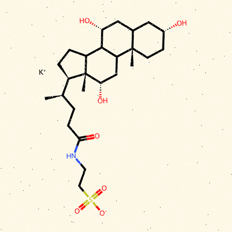 C[C@H](CCC(=O)NCCS(=O)(=O)[O-])[C@H]1CCC2C3C(C[C@H](O)[C@@]21C)[C@@]1(C)CC[C@@H](O)CC1C[C@H]3O.[K+]